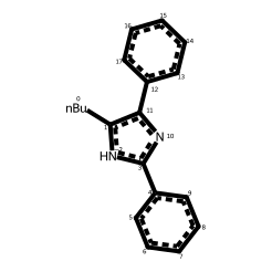 CCCCc1[nH]c(-c2ccccc2)nc1-c1ccccc1